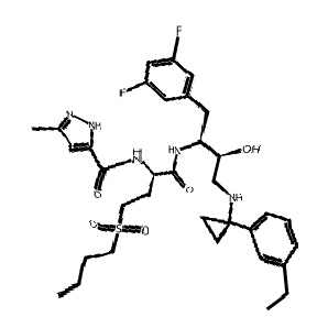 CCCCS(=O)(=O)CC[C@@H](NC(=O)c1cc(C)n[nH]1)C(=O)N[C@@H](Cc1cc(F)cc(F)c1)[C@@H](O)CNC1(c2cccc(CC)c2)CC1